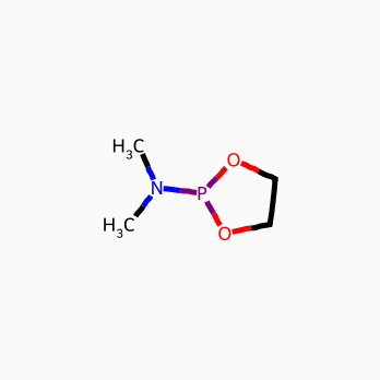 CN(C)P1OCCO1